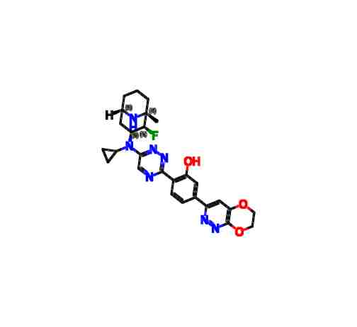 C[C@@]12CCC[C@@H](C[C@H](N(c3cnc(-c4ccc(-c5cc6c(nn5)OCCO6)cc4O)nn3)C3CC3)[C@@H]1F)N2